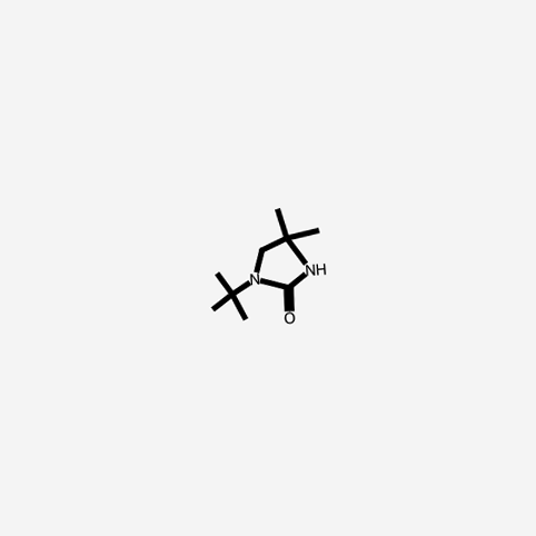 CC1(C)CN(C(C)(C)C)C(=O)N1